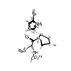 CC[C@H](C)[C@H](NC(=O)O)C(=O)N1C[C@@H](C)C[C@H]1c1ncc(Br)[nH]1